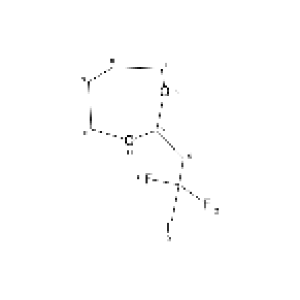 FC(F)(F)CC1OCCCCO1